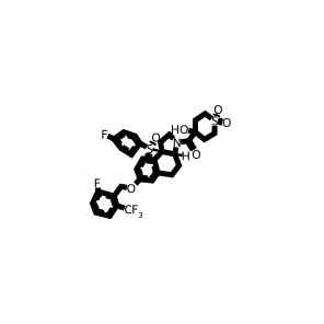 O=C(N1CC[C@@]2(S(=O)(=O)c3ccc(F)cc3)c3ccc(OCc4c(F)cccc4C(F)(F)F)cc3CC[C@@H]12)C1(O)CCS(=O)(=O)CC1